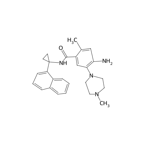 Cc1cc(N)c(N2CCN(C)CC2)cc1C(=O)NC1(c2cccc3ccccc23)CC1